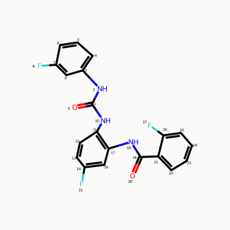 O=C(Nc1cccc(F)c1)Nc1ccc(F)cc1NC(=O)c1ccccc1F